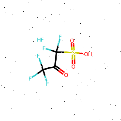 F.O=C(C(F)(F)F)C(F)(F)S(=O)(=O)O